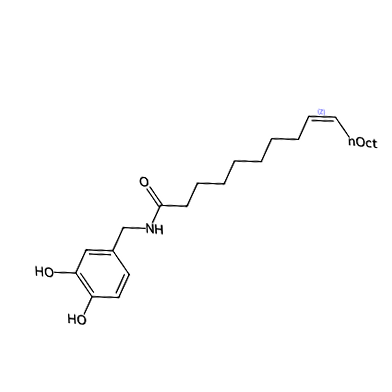 CCCCCCCC/C=C\CCCCCCCC(=O)NCc1ccc(O)c(O)c1